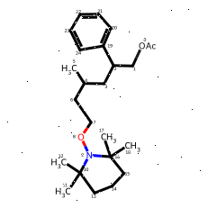 CC(=O)OCC(CC(C)CCON1C(C)(C)CCCC1(C)C)c1ccccc1